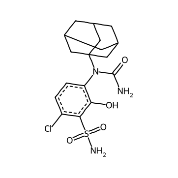 NC(=O)N(c1ccc(Cl)c(S(N)(=O)=O)c1O)C12CC3CC(CC(C3)C1)C2